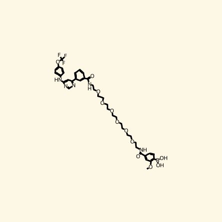 COc1cc(C(=O)NCCOCCOCCOCCOCCOCCOCCNC(=O)c2cccc(-c3cc(Nc4ccc(OC(F)(F)F)cc4)ncn3)c2)ccc1B(O)O